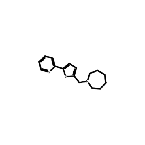 c1ccc(-c2ccc(CN3CCCCCC3)s2)nc1